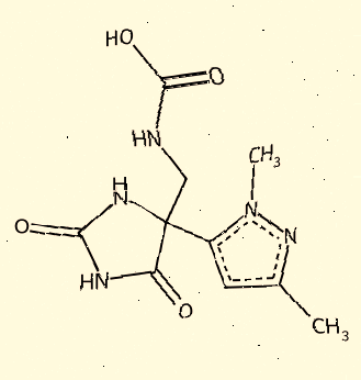 Cc1cc(C2(CNC(=O)O)NC(=O)NC2=O)n(C)n1